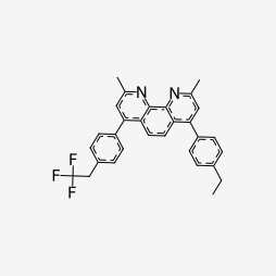 CCc1ccc(-c2cc(C)nc3c2ccc2c(-c4ccc(CC(F)(F)F)cc4)cc(C)nc23)cc1